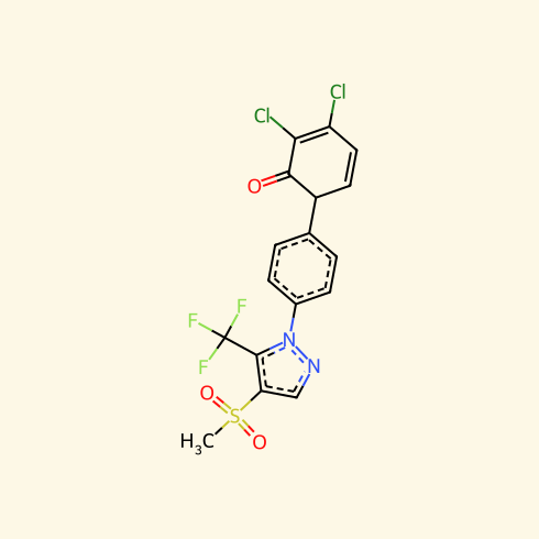 CS(=O)(=O)c1cnn(-c2ccc(C3C=CC(Cl)=C(Cl)C3=O)cc2)c1C(F)(F)F